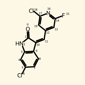 O=C1Nc2cc(Cl)ccc2C1=Cc1cc(F)nc(Cl)c1